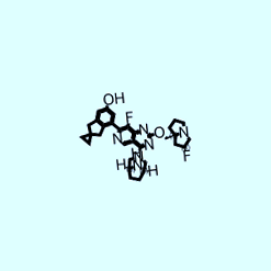 Oc1cc2c(c(-c3ncc4c(N5C[C@H]6CC[C@@H](C5)N6)nc(OC[C@@]56CCCN5C[C@H](F)C6)nc4c3F)c1)CC1(CC1)C2